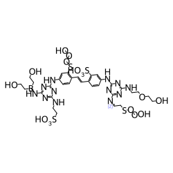 O=S(=O)(O)CCNc1nc(NB(CCO)CCO)nc(Nc2ccc(C=Cc3ccc(Nc4nc(/N=C\CSOOO)nc(NCCOCCO)n4)cc3S(=O)(=O)O)c(SOOO)c2)n1